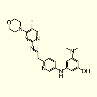 CN(C)c1cc(O)cc(Nc2ccc(C/C=N/c3ncc(F)c(N4CCOCC4)n3)nc2)c1